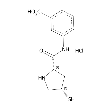 Cl.O=C(O)c1cccc(NC(=O)[C@@H]2C[C@H](S)CN2)c1